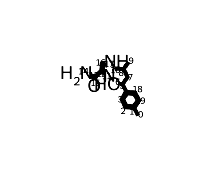 Cc1ccc(C(O)CC(C)c2nc(C(N)=O)c[nH]2)cc1